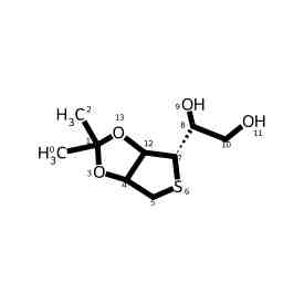 CC1(C)OC2CS[C@@H](C(O)CO)C2O1